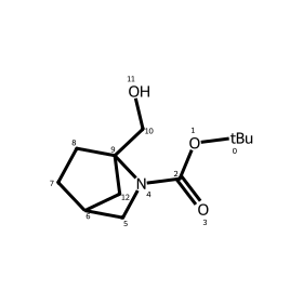 CC(C)(C)OC(=O)N1CC2CCC1(CO)C2